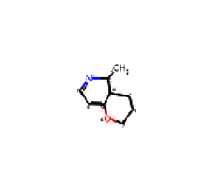 CC1N=CC=C2OCCCC21